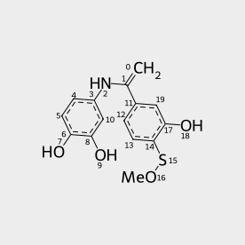 C=C(Nc1ccc(O)c(O)c1)c1ccc(SOC)c(O)c1